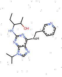 CCC(Nc1nc([AsH]Cc2cccnc2)c2ncn(C(C)C)c2n1)C(C)O